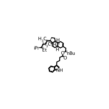 CCCC[C@@H](CC1=CC[C@@H]2[C@H](CC[C@]3(C)[C@@H]([C@H](C)CC[C@@H](CC)C(C)C)CC[C@@H]23)C1)OC(=O)CCCc1c[nH]c2ccccc12